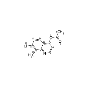 CC(=O)Oc1ccnc2c(C)c(Cl)ccc12